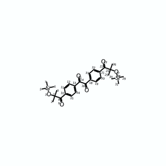 CC(C)(O[Si](C)(C)C)C(=O)c1ccc(C(=O)C(=O)c2ccc(C(=O)C(C)(C)O[Si](C)(C)C)cc2)cc1